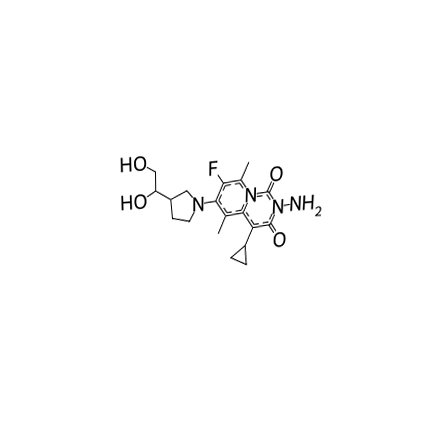 Cc1c(N2CCC(C(O)CO)C2)c(F)c(C)n2c(=O)n(N)c(=O)c(C3CC3)c12